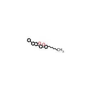 CCCCCCCc1ccc2c(c1)oc1c2ccc2c3cc4ccc(-c5ccccc5)cc4cc3oc21